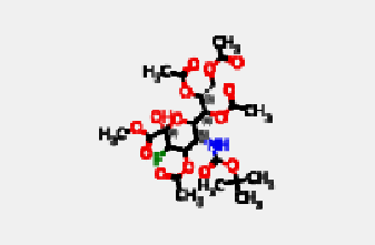 COC(=O)[C@@]1(O)OC([C@H](OC(C)=O)[C@@H](COC(C)=O)OC(C)=O)[C@H](NC(=O)OC(C)(C)C)C(OC(C)=O)C1F